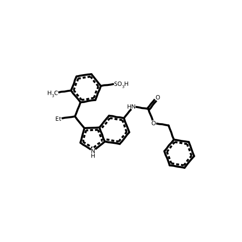 CCC(c1cc(S(=O)(=O)O)ccc1C)c1c[nH]c2ccc(NC(=O)OCc3ccccc3)cc12